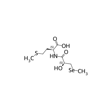 CSCC[C@H](NC(=O)[C@H](O)C[Se]C)C(=O)O